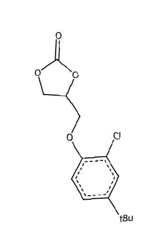 CC(C)(C)c1ccc(OCC2COC(=O)O2)c(Cl)c1